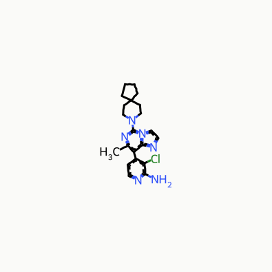 Cc1nc(N2CCC3(CCCC3)CC2)n2ccnc2c1-c1ccnc(N)c1Cl